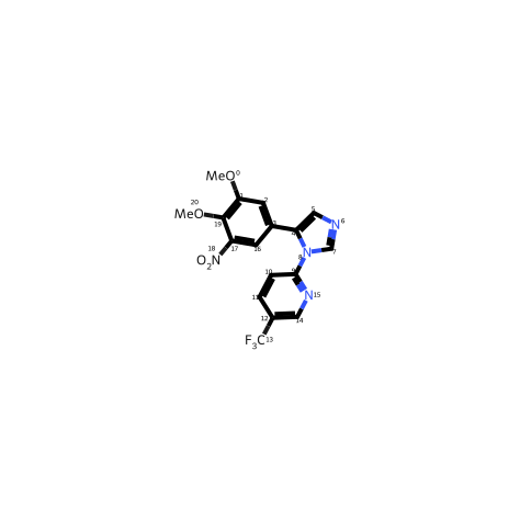 COc1cc(-c2cncn2-c2ccc(C(F)(F)F)cn2)cc([N+](=O)[O-])c1OC